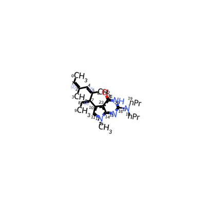 C\C=C(C)/C=C(C)\C(=C\C)c1cn(C)c2nc(N(CCC)CCC)[nH]c(=O)c12